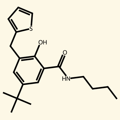 CCCCNC(=O)c1cc(C(C)(C)C)cc(Cc2cccs2)c1O